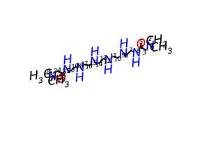 CN(C)CC(=O)NCCNCCNCCNCCNCCNC(=O)CN(C)C